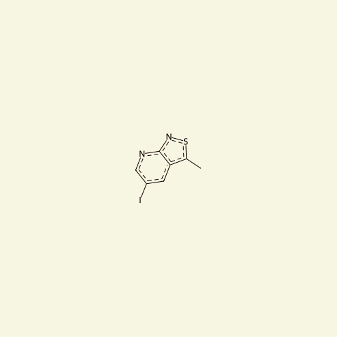 Cc1snc2ncc(I)cc12